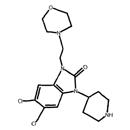 O=c1n(CCN2CCOCC2)c2cc(Cl)c(Cl)cc2n1C1CCNCC1